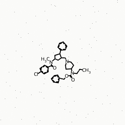 CCCN(C(=O)OCc1ccccc1)C1CCN(CC2CC(N(C)C(=O)c3ccc(Cl)cc3)CC2c2ccccc2)CC1